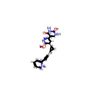 COc1nnc(-c2c[nH]c(=O)[nH]c2=O)cc1[C@H]1C[C@@H]1C#Cc1ccccn1